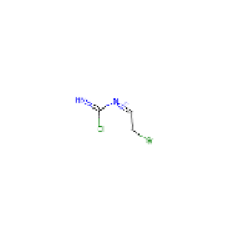 N=C(Cl)/N=C\CBr